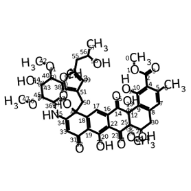 COC(=O)c1c(C)cc2c(c1O)[C@]1(O)C(=O)c3cc4c(c(O)c3C(=O)[C@]1(OC)C(O)C2)C(=O)C=C(N[C@H]1O[C@@H](C)[C@H](OC)[C@@H](O)[C@H]1OC)C4(O)Cc1coc(CC(C)O)c1